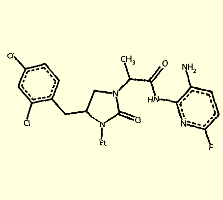 CCN1C(=O)N(C(C)C(=O)Nc2nc(F)ccc2N)CC1Cc1ccc(Cl)cc1Cl